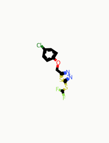 FC(F)Sc1nnc(COc2ccc(Cl)cc2)s1